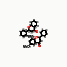 COc1ccc2oc(-c3ccccc3)cc(=O)c2c1.COc1ccccc1-c1cc(=O)c2ccccc2o1